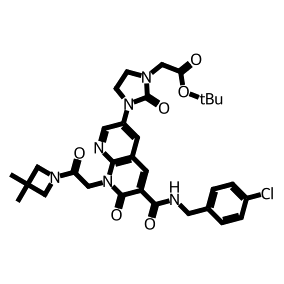 CC1(C)CN(C(=O)Cn2c(=O)c(C(=O)NCc3ccc(Cl)cc3)cc3cc(N4CCN(CC(=O)OC(C)(C)C)C4=O)cnc32)C1